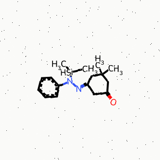 C[SiH](C)N(N=C1CC(=O)CC(C)(C)C1)c1ccccc1